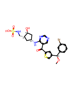 CO[C@H](c1cccc(Br)c1)c1csc(C(=O)c2cncnc2N[C@@H]2C[C@H](CNS(=O)(=O)O)[C@@H](O)C2)c1